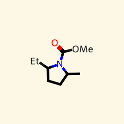 CCC1CCC(C)N1C(=O)OC